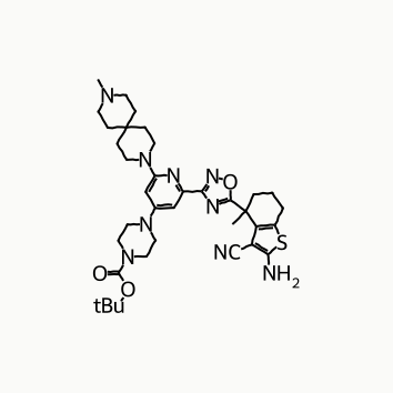 CN1CCC2(CC1)CCN(c1cc(N3CCN(C(=O)OC(C)(C)C)CC3)cc(-c3noc(C4(C)CCCc5sc(N)c(C#N)c54)n3)n1)CC2